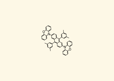 Cc1cc(C)cc(-c2c3ccc(N4c5ccccc5Oc5ccccc54)cc3c(-c3cc(C)cc(C)c3)c3ccc(N4c5ccccc5Oc5ccccc54)cc23)c1